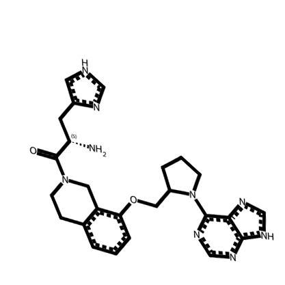 N[C@@H](Cc1c[nH]cn1)C(=O)N1CCc2cccc(OCC3CCCN3c3ncnc4[nH]cnc34)c2C1